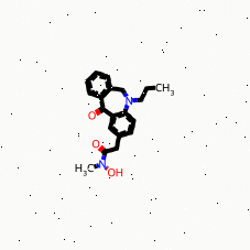 CCCN1Cc2ccccc2C(=O)c2cc(CC(=O)N(C)O)ccc21